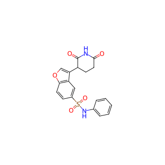 O=C1CCC(c2coc3ccc(S(=O)(=O)Nc4ccccc4)cc23)C(=O)N1